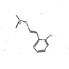 CC(C)c1ccccc1C=CO[SiH](C)C